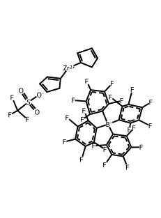 C1=CC[C]([Zr+2][C]2=CC=CC2)=C1.Fc1c(F)c(F)c([B-](c2c(F)c(F)c(F)c(F)c2F)(c2c(F)c(F)c(F)c(F)c2F)c2c(F)c(F)c(F)c(F)c2F)c(F)c1F.O=S(=O)([O-])C(F)(F)F